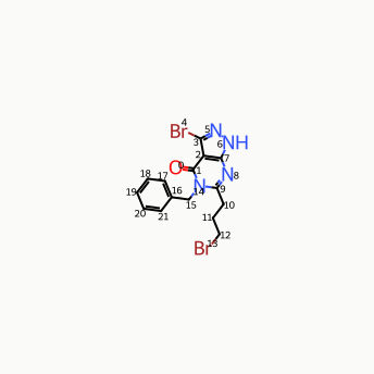 O=c1c2c(Br)n[nH]c2nc(CCCBr)n1Cc1ccccc1